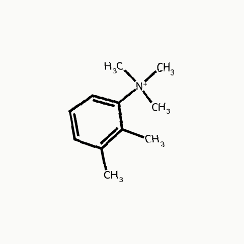 Cc1cccc([N+](C)(C)C)c1C